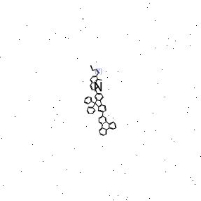 C=C/C=C\c1ccc2ccc(-c3ccc4c(c3)C(c3ccccc3)(c3ccccc3)c3cc(-c5ccc6c7ccccc7c7ccccc7c6c5)ccc3-4)nc2c1C